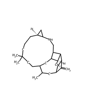 C=C1C2CC(C)C3CCC(C)(C)CCC[C@H]4CC4NCC4C(C3)[C@H](C)C4C1C2